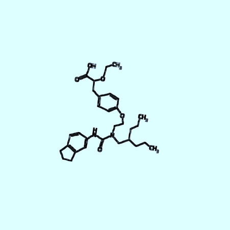 CCCC(CCC)CN(CCOc1ccc(CC(OCC)C(=O)O)cc1)C(=O)Nc1ccc2c(c1)CCC2